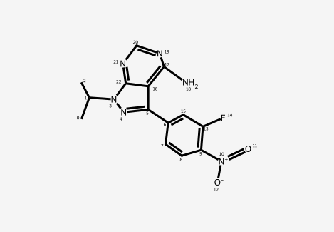 CC(C)n1nc(-c2ccc([N+](=O)[O-])c(F)c2)c2c(N)ncnc21